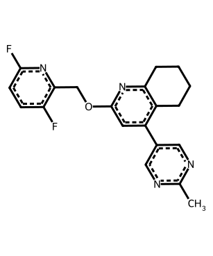 Cc1ncc(-c2cc(OCc3nc(F)ccc3F)nc3c2CCCC3)cn1